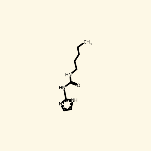 CCCCCNC(=O)Nc1ncc[nH]1